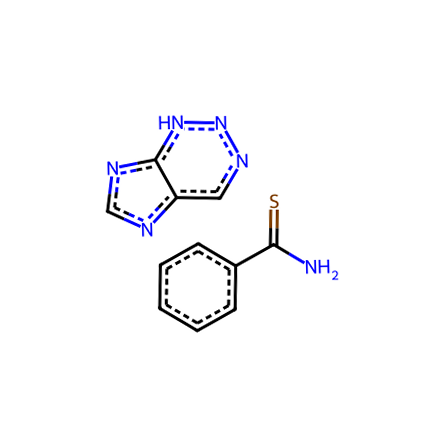 NC(=S)c1ccccc1.c1nc2cnn[nH]c-2n1